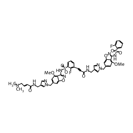 COc1cc(Cn2cc(CNC(=O)C#Cc3cccc(S(=O)(=O)Nc4noc5cc(Cn6cc(CNC(=O)/C=C/CN(C)C)cn6)cc(OC)c45)c3F)cn2)cc2onc(NS(=O)(=O)c3ccccc3F)c12